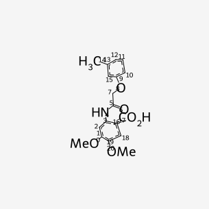 COc1cc(NC(=O)COc2cccc(C)c2)c(C(=O)O)cc1OC